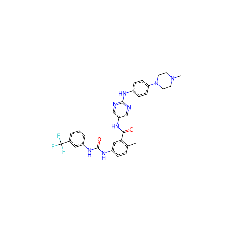 Cc1ccc(NC(=O)Nc2cccc(C(F)(F)F)c2)cc1C(=O)Nc1cnc(Nc2ccc(N3CCN(C)CC3)cc2)nc1